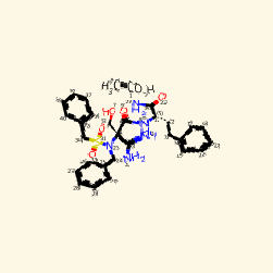 CC(=O)O.N=C(N)[C@@](CO)(C(=O)N[C@@H](CCc1ccccc1)C(N)=O)N(Cc1ccccc1)S(=O)(=O)Cc1ccccc1